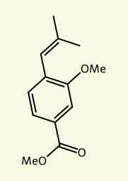 COC(=O)c1ccc(C=C(C)C)c(OC)c1